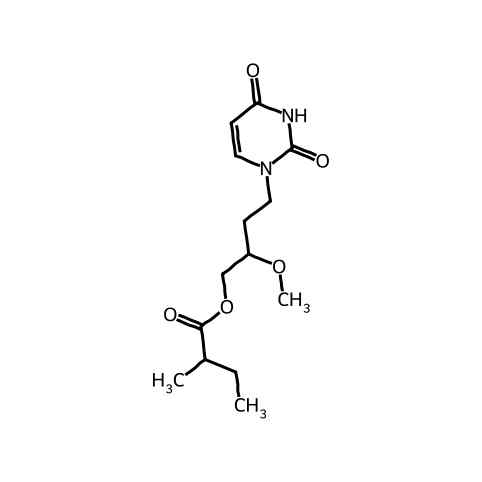 CCC(C)C(=O)OCC(CCn1ccc(=O)[nH]c1=O)OC